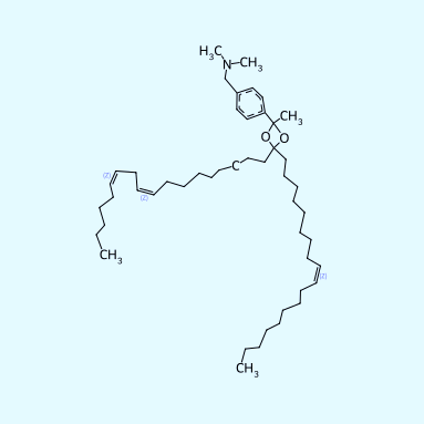 CCCCC/C=C\C/C=C\CCCCCCCCC1(CCCCCCCC/C=C\CCCCCCCC)OC(C)(c2ccc(CN(C)C)cc2)O1